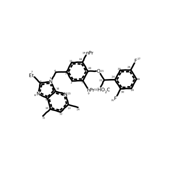 CCCc1cc(Cn2c(CC)nc3c(C)cc(C)nc32)cc(CCC)c1OC(C(=O)O)c1cc(F)ccc1F